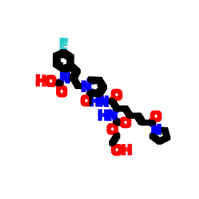 O=C(NC(CCC=CC(=O)N1CCCC1)C(=O)Nc1cccn(Cc2cc3cc(F)ccc3n2C(=O)O)c1=O)OCCO